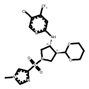 Cn1cnc(S(=O)(=O)N2C[C@H](Nc3cc(C(F)(F)F)c(Cl)cn3)[C@@H](C3OCCCO3)C2)c1